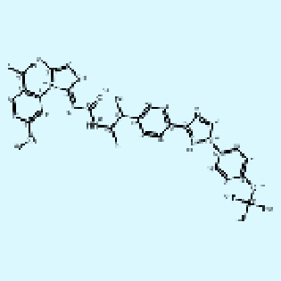 COc1ccc(C(C)C)c(-n2c(C)cs/c2=N\C(=O)NC(C)C(F)c2ccc(-c3ncn(-c4ccc(OC(F)(F)F)cc4)n3)cc2)c1